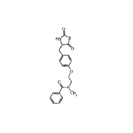 CN(CCOc1ccc(CC2NC(=O)SC2=O)cc1)C(=O)c1ccccc1